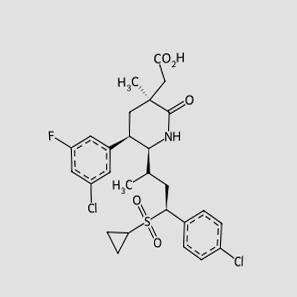 CC(C[C@@H](c1ccc(Cl)cc1)S(=O)(=O)C1CC1)[C@@H]1NC(=O)[C@](C)(CC(=O)O)C[C@@H]1c1cc(F)cc(Cl)c1